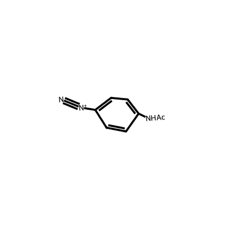 CC(=O)Nc1ccc([N+]#N)cc1